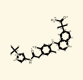 Cc1cc(CC(=O)Nc2cnn(C(C)(C)C)c2)c(F)cc1Oc1ccnc2ccc(C(C)(C)C(N)=O)cc12